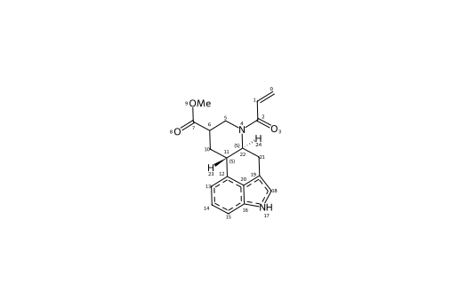 C=CC(=O)N1CC(C(=O)OC)C[C@H]2c3cccc4[nH]cc(c34)C[C@@H]21